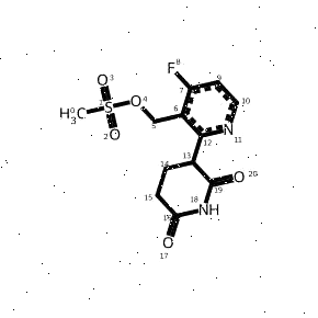 CS(=O)(=O)OCc1c(F)ccnc1C1CCC(=O)NC1=O